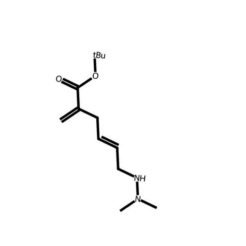 C=C(CC=CCNN(C)C)C(=O)OC(C)(C)C